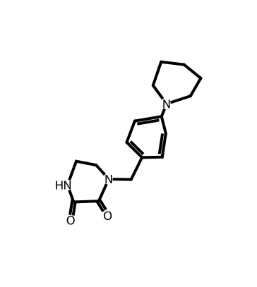 O=C1NCCN(Cc2ccc(N3CCCCC3)cc2)C1=O